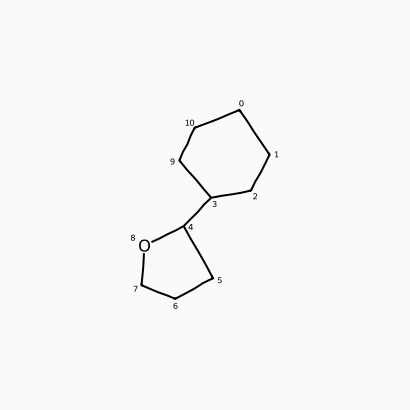 C1CCC(C2CCCO2)CC1